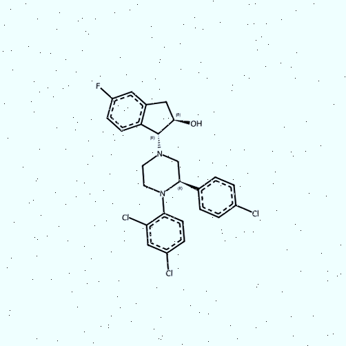 O[C@@H]1Cc2cc(F)ccc2[C@H]1N1CCN(c2ccc(Cl)cc2Cl)[C@H](c2ccc(Cl)cc2)C1